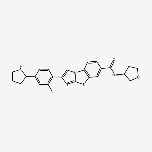 O=C(N[C@H]1CCOC1)c1ccc2c(c1)sc1nc(-c3ccc(C4CCCN4)cc3F)cn12